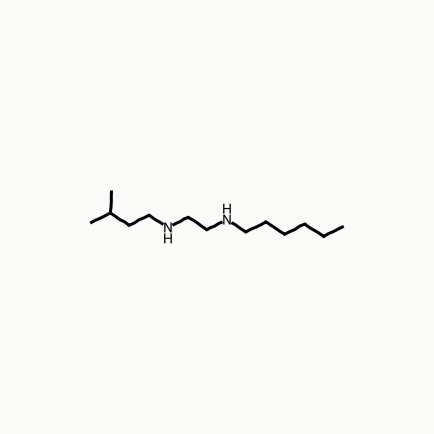 CCCCCCNCCNCCC(C)C